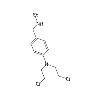 CCNCc1ccc(N(CCCl)CCCl)cc1